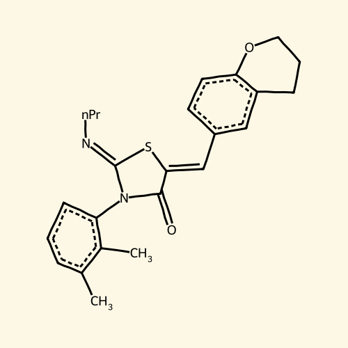 CCC/N=C1\S/C(=C\c2ccc3c(c2)CCCO3)C(=O)N1c1cccc(C)c1C